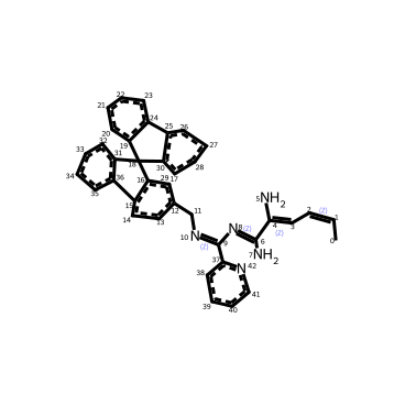 C\C=C/C=C(N)/C(N)=N/C(=N\Cc1ccc2c(c1)C1(c3ccccc3-c3ccccc31)c1ccccc1-2)c1ccccn1